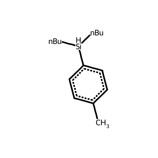 CCCC[SiH](CCCC)c1ccc(C)cc1